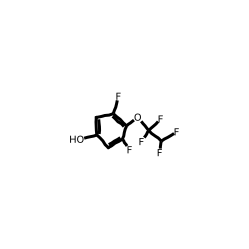 Oc1cc(F)c(OC(F)(F)C(F)F)c(F)c1